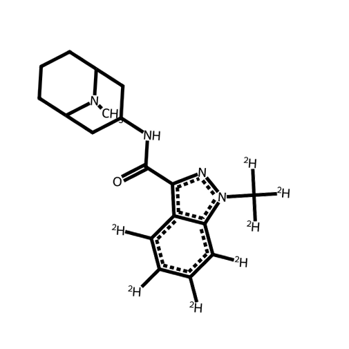 [2H]c1c([2H])c([2H])c2c(c(C(=O)NC3CC4CCCC(C3)N4C)nn2C([2H])([2H])[2H])c1[2H]